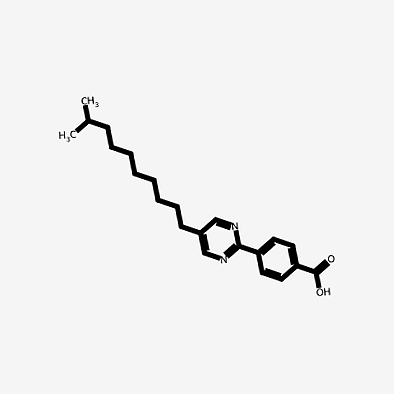 CC(C)CCCCCCCCc1cnc(-c2ccc(C(=O)O)cc2)nc1